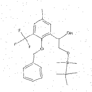 Cc1cc(C(O)CO[Si](C)(C)C(C)(C)C)c(OCc2ccccc2)c(C(F)(F)F)c1